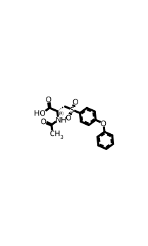 CC(=O)N[C@@H](CS(=O)(=O)c1ccc(Oc2ccccc2)cc1)C(=O)O